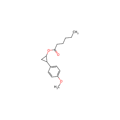 CCCCCC(=O)OC1CC1c1ccc(OC)cc1